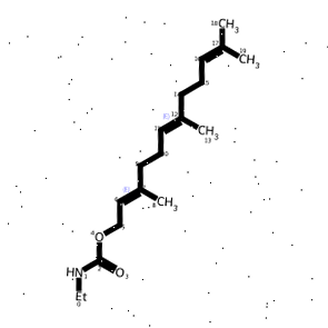 CCNC(=O)OC/C=C(\C)CC/C=C(\C)CCC=C(C)C